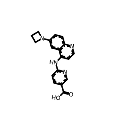 O=C(O)c1ccc(Nc2ccnc3ccc(N4CCC4)cc23)nc1